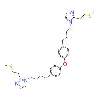 CSCCc1nccn1CCCCc1ccc(Oc2ccc(CCCCn3ccnc3CCSC)cc2)cc1